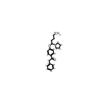 CCCCC(Oc1ccc(C(=O)Cc2ccccc2)cc1)N1CCCC1